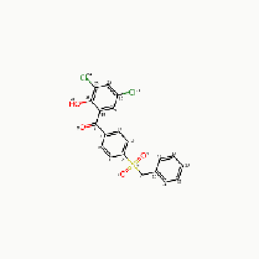 O=C(c1ccc(S(=O)(=O)Cc2ccccc2)cc1)c1cc(Cl)cc(Cl)c1O